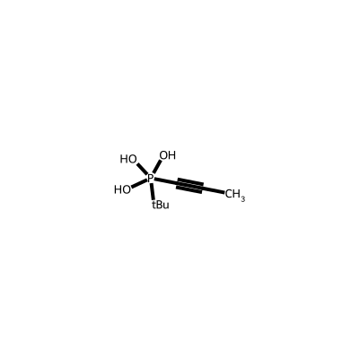 CC#CP(O)(O)(O)C(C)(C)C